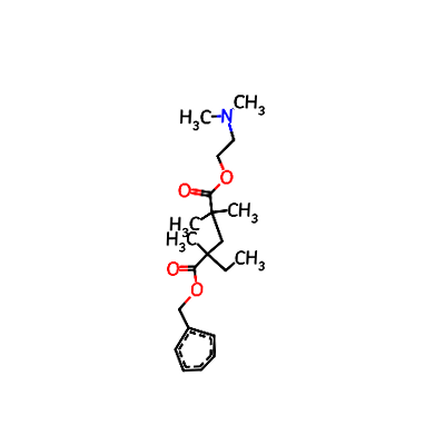 CCC(C)(CC(C)(C)C(=O)OCCN(C)C)C(=O)OCc1ccccc1